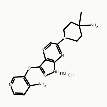 CC1(N)CCN(c2cnc3c(Oc4cnccc4N)n[nH]c3n2)CC1.Cl.Cl